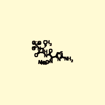 C=C[C@@H]1[C@H](NC(=O)C(=NOC)c2csc(N)n2)C(=O)N1S(=O)(=O)[O-].[Na+]